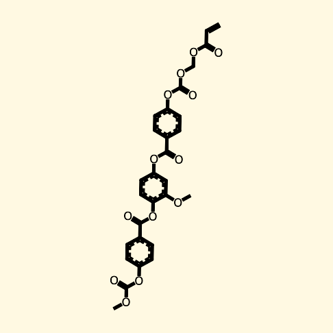 C=CC(=O)OCOC(=O)Oc1ccc(C(=O)Oc2ccc(OC(=O)c3ccc(OC(=O)OC)cc3)c(OC)c2)cc1